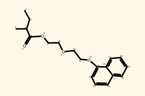 CCC(C)C(=O)OCCOCCOc1cccc2ccccc12